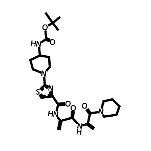 C=C(NC(=O)c1csc(N2CCC(NC(=O)OC(C)(C)C)CC2)n1)C(=O)NC(=C)C(=O)N1CCCCC1